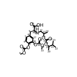 COC(=O)Oc1ccc(C[C@H](NCC(C)OC(=O)OC(C)C(C)C)C(=O)O)cc1OC(=O)OC